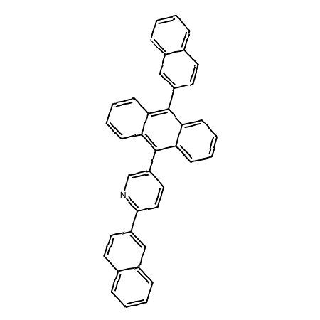 c1ccc2cc(-c3ccc(-c4c5ccccc5c(-c5ccc6ccccc6c5)c5ccccc45)cn3)ccc2c1